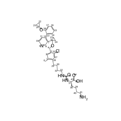 Cc1cc(COC2(c3cnccc3-c3ccccc3OC3CC3)CC2)c(Cl)cc1CCCCNC(=O)N[C@H](CCCCN)C(=O)O